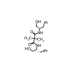 CC(C)C[C@H](CO)NC(=O)C(C)(C)C(=O)N[C@@H](CO)CC(C)C